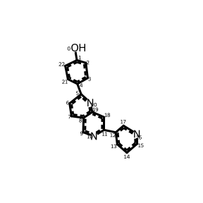 Oc1ccc(-c2ccc3cnc(-c4cccnc4)cc3n2)cc1